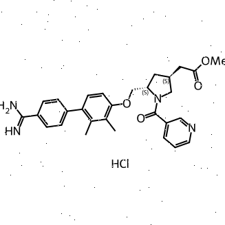 COC(=O)C[C@@H]1C[C@@H](COc2ccc(-c3ccc(C(=N)N)cc3)c(C)c2C)N(C(=O)c2cccnc2)C1.Cl